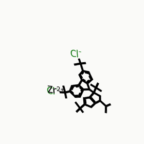 CC(C)C1CC(C2c3ccc(C(C)(C)C)cc3-c3cc(C(C)(C)C)ccc32)(C(C)(C)C)C2=C1CC(C(C)(C)C)=C2.[Cl-].[Cl-].[Zr+2]